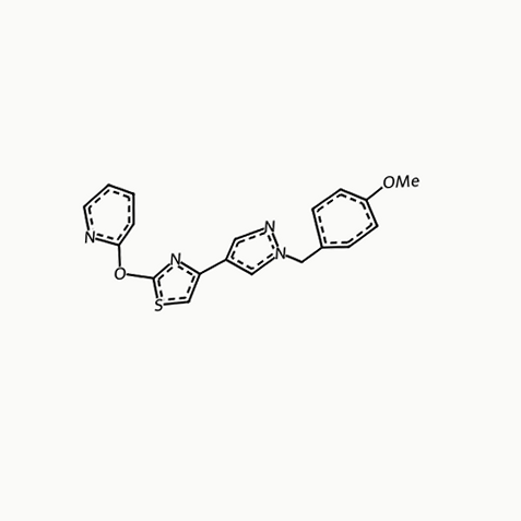 COc1ccc(Cn2cc(-c3csc(Oc4ccccn4)n3)cn2)cc1